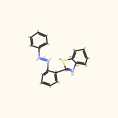 c1ccc(/N=N/c2ccccc2-c2nc3ccccc3s2)cc1